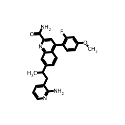 COc1ccc(-c2cc(C(N)=O)nc3cc(C(C)Cc4cccnc4N)ccc23)c(F)c1